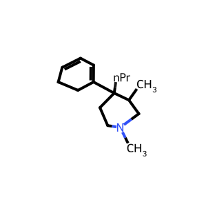 CCCC1(C2=CC=CCC2)CCN(C)CC1C